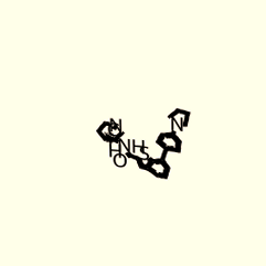 O=C(N[C@H]1CN2CCC1CC2)c1cc2cccc(-c3ccc(N4CCCC4)cc3)c2s1